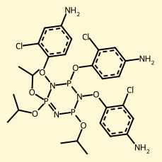 CC(C)OP1N=P(OC(C)C)(OC(C)C)N(Oc2ccc(N)cc2Cl)P(Oc2ccc(N)cc2Cl)N1Oc1ccc(N)cc1Cl